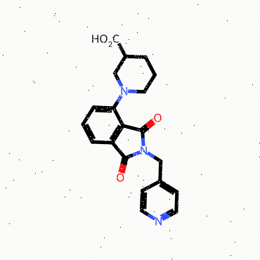 O=C(O)C1CCCN(c2cccc3c2C(=O)N(Cc2ccncc2)C3=O)C1